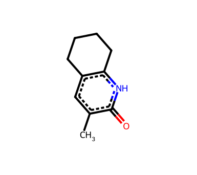 Cc1cc2c([nH]c1=O)CCCC2